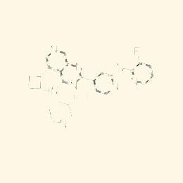 C[C@@H]1CNCC[C@@H]1Nc1nc(-c2ccnc(Nc3ncccc3F)c2)nc2cncc(C3CCC3)c12